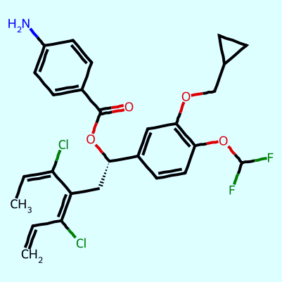 C=C/C(Cl)=C(C[C@H](OC(=O)c1ccc(N)cc1)c1ccc(OC(F)F)c(OCC2CC2)c1)\C(Cl)=C/C